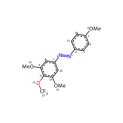 COc1[c]cc(/N=N/c2cc(OC)c(OC(F)(F)F)c(OC)c2)cc1